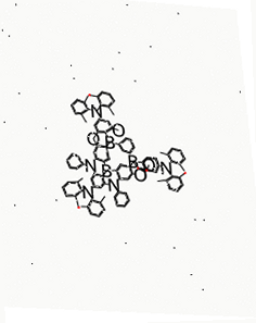 Cc1cccc(C)c1N(c1cc2c3c(c1)Oc1cc4c(cc1B3c1ccccc1O2)B1c2cc3c(cc2N(c2ccccc2)c2cc(N(c5c(C)cccc5C)c5c(C)cccc5C)cc(c21)N4c1ccccc1)Oc1cc(N(c2c(C)cccc2C)c2c(C)cccc2C)cc2c1B3c1ccccc1O2)c1c(C)cccc1C